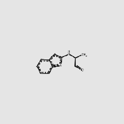 CC(C=O)Nc1cc2ccccc2s1